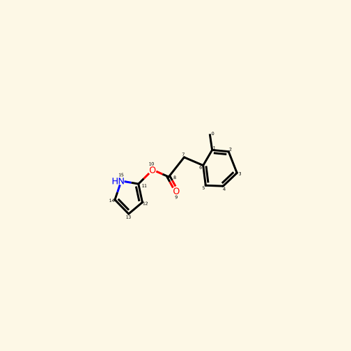 Cc1ccccc1CC(=O)Oc1ccc[nH]1